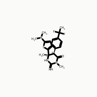 CN1C(=N)N[C@](C)(c2ccc(N(C)C)s2)[C@@H](c2ccc(C(C)(F)F)cc2)C1=O